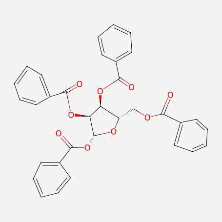 O=C(OC[C@@H]1O[C@H](OC(=O)c2ccccc2)[C@@H](OC(=O)c2ccccc2)[C@H]1OC(=O)c1ccccc1)c1ccccc1